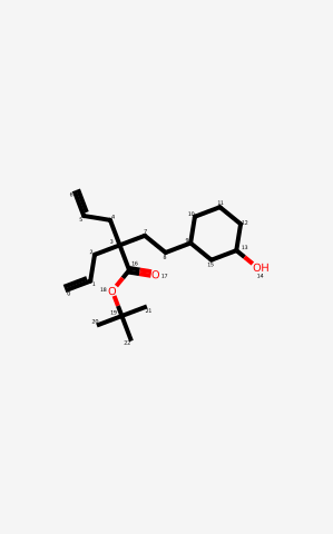 C=CCC(CC=C)(CCC1CCCC(O)C1)C(=O)OC(C)(C)C